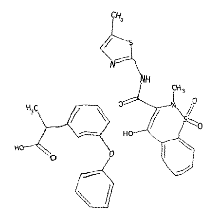 CC(C(=O)O)c1cccc(Oc2ccccc2)c1.Cc1cnc(NC(=O)C2=C(O)c3ccccc3S(=O)(=O)N2C)s1